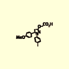 COc1ccc(-c2cc(OCC(=O)O)nn2-c2ccc(C)cc2)cc1